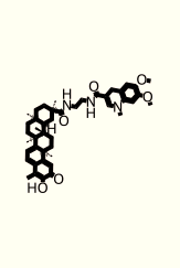 COc1cc2c(cc1OC)N(C)C=C(C(=O)NCCNC(=O)[C@]1(C)CC[C@]3(C)CC[C@]4(C)C5=CC=C6C(=CC(=O)C(O)=C6C)[C@]5(C)CC[C@@]4(C)[C@@H]3C1)C2